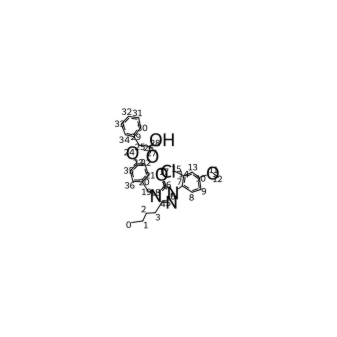 CCCCc1nn(-c2ccc(OC)cc2Cl)c(=O)n1Cc1ccc(OC(C(=O)O)c2ccccc2)cc1